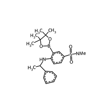 CNS(=O)(=O)c1ccc(NC(C)c2ccccc2)c(B2OC(C)(C)C(C)(C)O2)c1